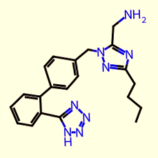 CCCCc1nc(CN)n(Cc2ccc(-c3ccccc3-c3nnn[nH]3)cc2)n1